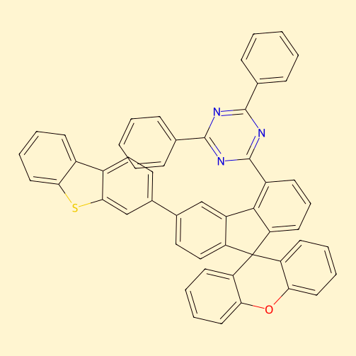 c1ccc(-c2nc(-c3ccccc3)nc(-c3cccc4c3-c3cc(-c5ccc6c(c5)sc5ccccc56)ccc3C43c4ccccc4Oc4ccccc43)n2)cc1